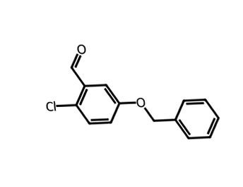 O=Cc1cc(OCc2ccccc2)ccc1Cl